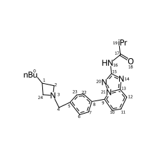 CCCCC1CN(Cc2ccc(-c3cccc4nc(NC(=O)C(C)C)nn34)cc2)C1